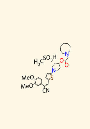 COc1ccc(C(C#N)=Cc2ccc(N3CCC(OC(=O)CN4CCCCCCC4)CC3)s2)cc1OC.CS(=O)(=O)O